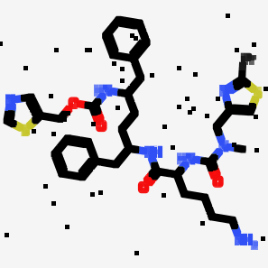 CC(C)c1nc(CN(C)C(=O)NC(CCCCN)C(=O)NC(CCC(Cc2ccccc2)NC(=O)OCc2cncs2)Cc2ccccc2)cs1